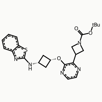 CC(C)(C)OC(=O)N1CC(c2nccnc2O[C@H]2C[C@@H](Nc3nc4ccccc4s3)C2)C1